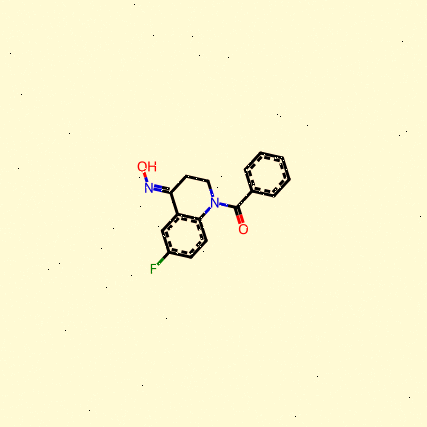 O=C(c1ccccc1)N1CCC(=NO)c2cc(F)ccc21